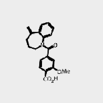 C=C1CCCN(C(=O)c2ccc(C(=O)O)c(OC)c2)c2ccccc21